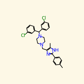 Cc1ccc(-c2nc(CN3CCN(C(c4cccc(Cl)c4)c4cccc(Cl)c4)CC3)c(C)[nH]2)cc1